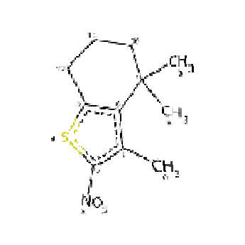 Cc1c([N+](=O)[O-])sc2c1C(C)(C)CCC2